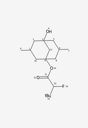 CC1CC2(O)CC(C)CC(OC(=O)C(F)C(C)(C)C)(C1)C2